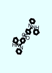 O=S(=O)(c1ccc(C(=Nc2ccccc2)Nc2ccccc2)cc1)c1ccc(C(=Nc2ccccc2)Nc2ccccc2)cc1